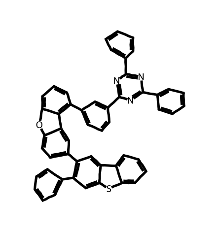 c1ccc(-c2nc(-c3ccccc3)nc(-c3cccc(-c4cccc5oc6ccc(-c7cc8c(cc7-c7ccccc7)sc7ccccc78)cc6c45)c3)n2)cc1